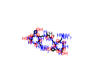 CC(CCC(=O)NCCCCC1NC(=O)[C@@H](CCCNC(=N)N)NC(=O)CNC(=O)[C@@H](CC(=O)O)NC(=O)[C@H](Cc2ccc(O)cc2)NC1=O)C(=O)NCCCCC1NC(=O)[C@@H](CCCNC(=N)N)NC(=O)CNC(=O)[C@@H](CC(=O)O)NC(=O)[C@H](Cc2ccc(O)cc2)NC1=O